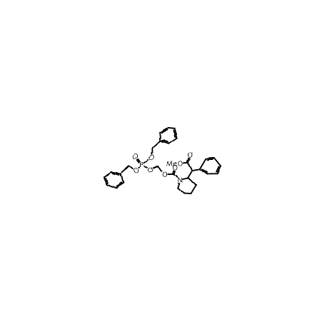 COC(=O)C(c1ccccc1)C1CCCCN1C(=O)OCOP(=O)(OCc1ccccc1)OCc1ccccc1